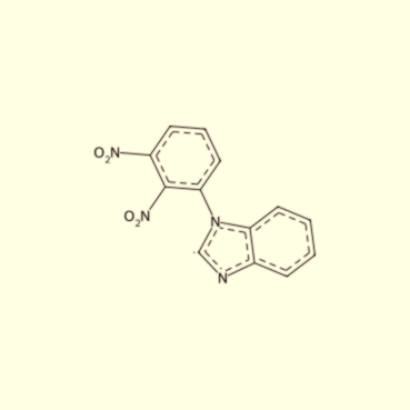 O=[N+]([O-])c1cccc(-n2[c]nc3ccccc32)c1[N+](=O)[O-]